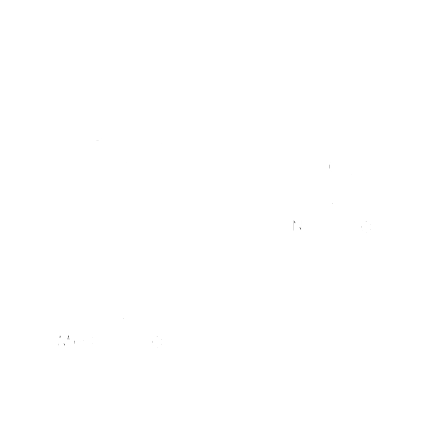 COC(=O)CC(CC1CCN(C(=O)C(F)(F)F)CC1)c1ccc2c(c1)OCC2